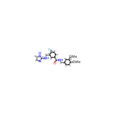 COc1ccc(CNC(=O)c2ccc(F)c(CNC3=NCCN3)c2)cc1OC